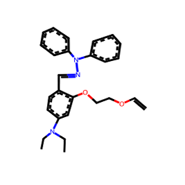 C=COCCOc1cc(N(CC)CC)ccc1/C=N/N(c1ccccc1)c1ccccc1